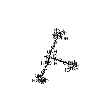 CC(=O)NC1C(OCCOCCOCCNC(=O)CCC(CCC(=O)NCCOCCOCCOC2OC(CO)C(O)C(O)C2NC(C)=O)(CCC(=O)NCCOCCOCCOC2OC(CO)C(O)C(O)C2NC(C)=O)NC(C)C)OC(CO)C(O)C1O